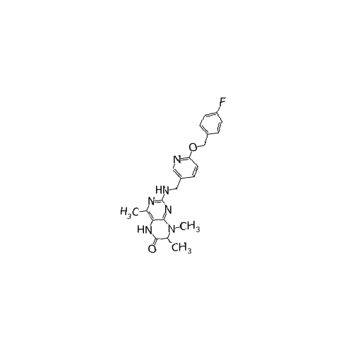 Cc1nc(NCc2ccc(OCc3ccc(F)cc3)nc2)nc2c1NC(=O)[C@H](C)N2C